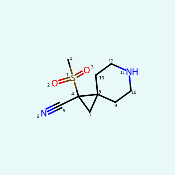 CS(=O)(=O)C1(C#N)CC12CCNCC2